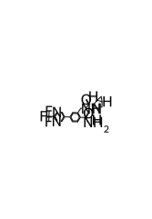 NC(=O)c1ccc(-c2cnc(C(F)(F)F)nc2)cc1CNC(=O)[C@H]1NC[C@@H]2C[C@@H]21